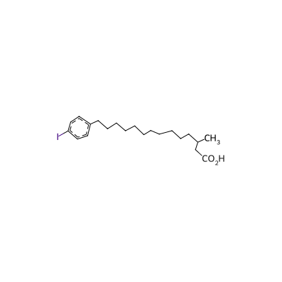 CC(CCCCCCCCCCCc1ccc(I)cc1)CC(=O)O